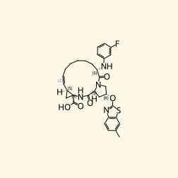 Cc1ccc2nc(O[C@@H]3C[C@H]4C(=O)N[C@]5(C(=O)O)C[C@H]5/C=C\CCCCC[C@H](Nc5cccc(F)c5)C(=O)N4C3)sc2c1